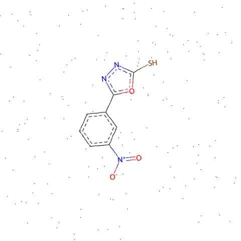 O=[N+]([O-])c1cccc(-c2nnc(S)o2)c1